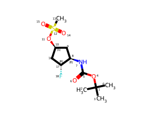 CC(C)(C)OC(=O)N[C@@H]1C[C@H](OS(C)(=O)=O)C[C@H]1F